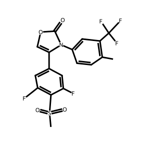 Cc1ccc(-n2c(-c3cc(F)c(S(C)(=O)=O)c(F)c3)coc2=O)cc1C(F)(F)F